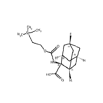 C[Si](C)(C)CCOC(=O)N[C@@]1(C(=O)O)[C@@H]2C[C@@H]3C[C@H]1C[C@@](F)(C3)C2